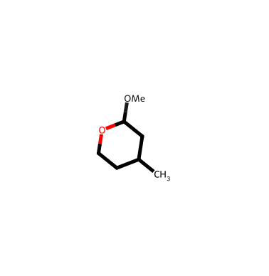 COC1CC(C)CCO1